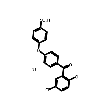 O=C(c1ccc(Oc2ccc(S(=O)(=O)O)cc2)cc1)c1cc(Cl)ccc1Cl.[NaH]